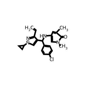 C=Cc1nn(C2CC2)cc1C(Nc1cc(C)c(=O)n(C)c1)c1ccc(Cl)cc1